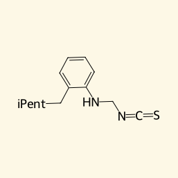 CCCC(C)Cc1ccccc1NCN=C=S